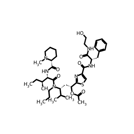 CCCN(C(=O)[C@@H](NC(=O)[C@H]1CCCCN1C)[C@@H](C)CC)[C@H](C[C@@H](OC(C)=O)c1nc(C(=O)N[C@@H](Cc2ccccc2)C(=O)NCCO)cs1)C(C)C